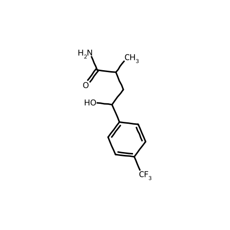 CC(CC(O)c1ccc(C(F)(F)F)cc1)C(N)=O